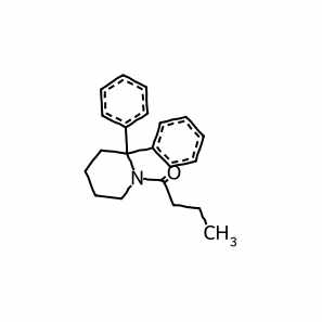 CCCC(=O)N1CCCCC1(c1ccccc1)c1ccccc1